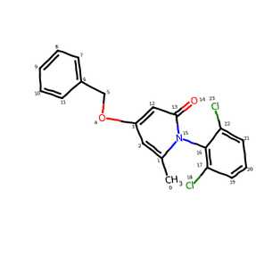 Cc1cc(OCc2ccccc2)cc(=O)n1-c1c(Cl)cccc1Cl